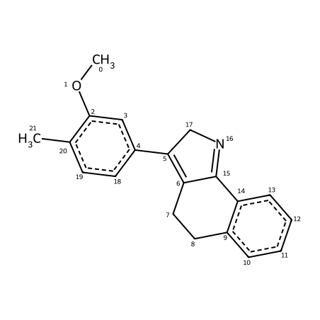 COc1cc(C2=C3CCc4ccccc4C3=NC2)ccc1C